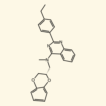 CCc1ccc(-c2nc(N(C)C[C@H]3COc4ccccc4O3)c3ccccc3n2)cc1